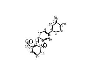 CC1=CCC(C2=CCCC(OC3C=C(CC(=O)O)C=CC3)=C2)CC1F